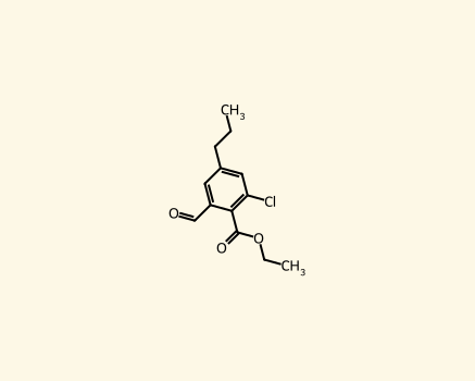 CCCc1cc(Cl)c(C(=O)OCC)c(C=O)c1